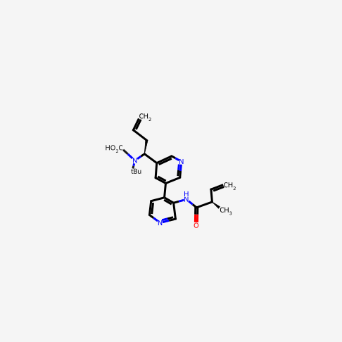 C=CC[C@@H](c1cncc(-c2ccncc2NC(=O)[C@H](C)C=C)c1)N(C(=O)O)C(C)(C)C